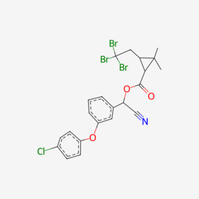 CC1(C)C(CC(Br)(Br)Br)C1C(=O)OC(C#N)c1cccc(Oc2ccc(Cl)cc2)c1